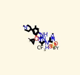 Cc1cc(Nc2ncc(C(F)(F)F)c(Nc3cn(C)nc3S(=O)(=O)C(C)C)n2)c(OC2C[C@H]2C)cc1C1CCN(C)CC1